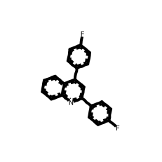 Fc1ccc(-c2cc(-c3ccc(F)cc3)c3ccccc3n2)cc1